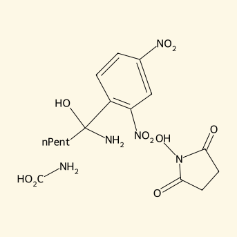 CCCCCC(N)(O)c1ccc([N+](=O)[O-])cc1[N+](=O)[O-].NC(=O)O.O=C1CCC(=O)N1O